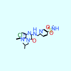 C=C(Cl)/N=C1\C(=C/C)N=C(NCc2ccc(S(=O)(=O)NC)cn2)C(=O)N1CC(C)C